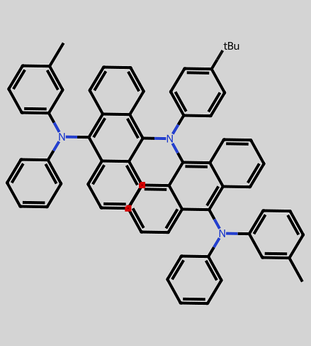 Cc1cccc(N(c2ccccc2)c2c3ccccc3c(N(c3ccc(C(C)(C)C)cc3)c3c4ccccc4c(N(c4ccccc4)c4cccc(C)c4)c4ccccc34)c3ccccc23)c1